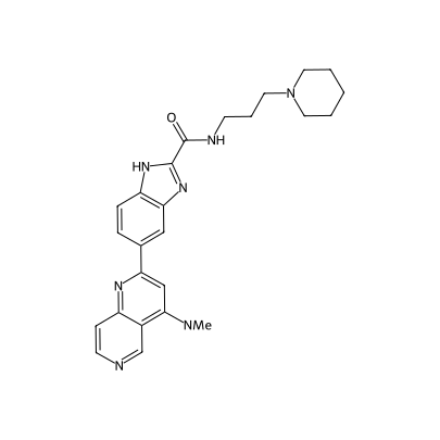 CNc1cc(-c2ccc3[nH]c(C(=O)NCCCN4CCCCC4)nc3c2)nc2ccncc12